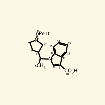 CCCCCN1CCC(C(C)n2cc(C(=O)O)c3ccccc32)C1